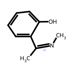 C/N=C(/C)c1ccccc1O